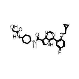 O=C(CO)N[C@H]1CC[C@H](NC(=O)c2c[nH]c3c(-c4cc(F)ccc4OCC4CC4)ncnc23)CC1